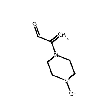 C=C(C=O)N1CC[S+]([O-])CC1